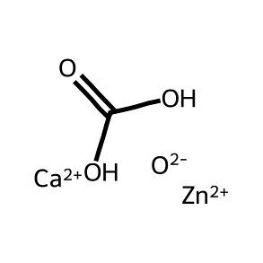 O=C(O)O.[Ca+2].[O-2].[Zn+2]